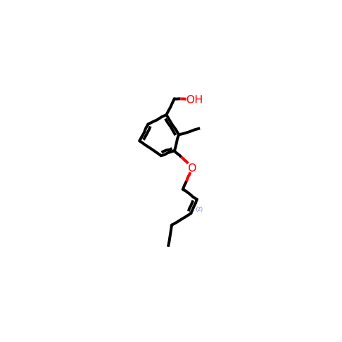 CC/C=C\COc1cccc(CO)c1C